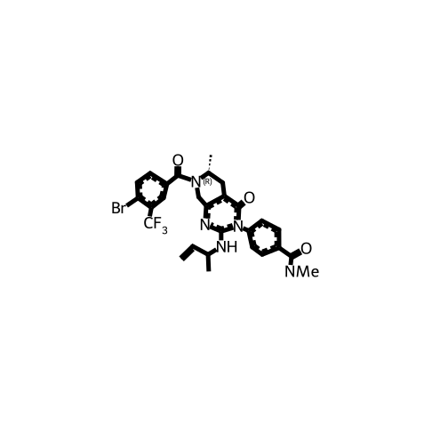 C=CC(C)Nc1nc2c(c(=O)n1-c1ccc(C(=O)NC)cc1)C[C@@H](C)N(C(=O)c1ccc(Br)c(C(F)(F)F)c1)C2